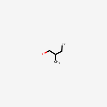 CC(C)CC(C)C[O]